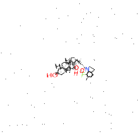 Cc1ccc2c(c1F)N(C(=O)CC[C@@H](C)[C@H]1CC[C@H]3[C@@H]4CC[C@@H]5C[C@H](O)CC[C@]5(C)[C@H]4C[C@H](O)[C@]13C)CC2